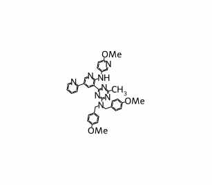 COc1ccc(CN(Cc2ccc(OC)cc2)c2nc(C)nc(-c3cc(-c4ccccn4)cnc3Nc3ccc(OC)nc3)n2)cc1